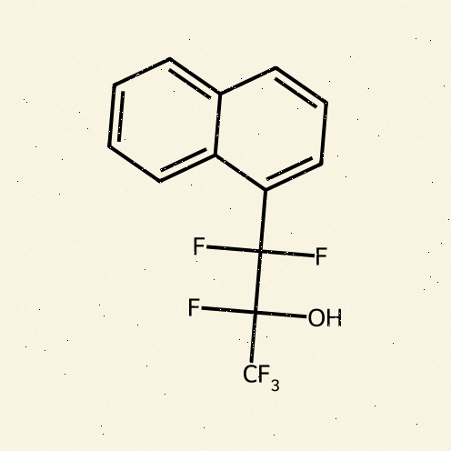 OC(F)(C(F)(F)F)C(F)(F)c1cccc2ccccc12